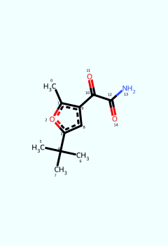 Cc1oc(C(C)(C)C)cc1C(=O)C(N)=O